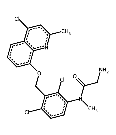 Cc1cc(Cl)c2cccc(OCc3c(Cl)ccc(N(C)C(=O)CN)c3Cl)c2n1